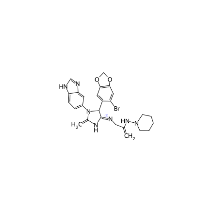 C=C(C/N=C1\NC(=C)N(c2ccc3[nH]cnc3c2)C1c1cc2c(cc1Br)OCO2)NN1CCCCC1